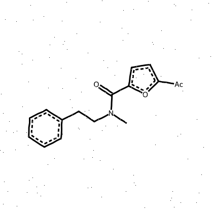 CC(=O)c1ccc(C(=O)N(C)CCc2ccccc2)o1